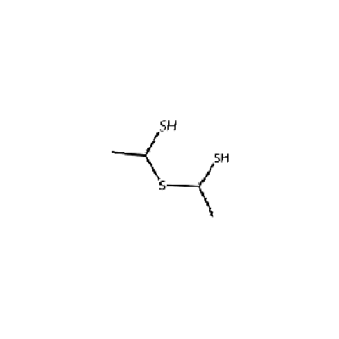 C[C](S)S[C](C)S